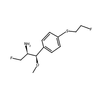 CO[C@H](c1ccc(SCCF)cc1)[C@H](N)CF